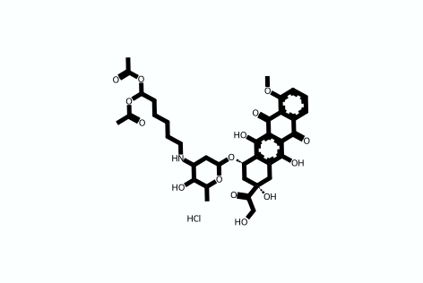 COc1cccc2c1C(=O)c1c(O)c3c(c(O)c1C2=O)C[C@@](O)(C(=O)CO)C[C@@H]3OC1CC(NCCCCCC(OC(C)=O)OC(C)=O)C(O)C(C)O1.Cl